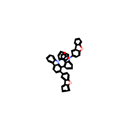 c1ccc(-n2c3ccccc3c3ccc(-c4ccc5oc6ccccc6c5c4)c(-c4cccc5c4c4ccccc4n5-c4ccc5oc6ccccc6c5c4)c32)cc1